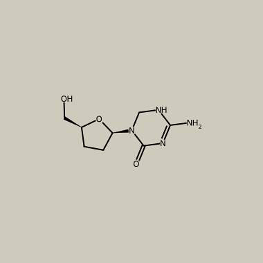 NC1=NC(=O)N([C@H]2CC[C@@H](CO)O2)CN1